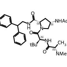 CN[C@@H](C)C(=O)N[C@H](C(=O)N1C[C@@H](NC(C)=O)C[C@H]1C(=O)NCC(c1ccccc1)c1ccccc1)C(C)(C)C